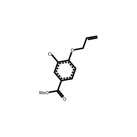 C=CCOc1ccc(C(=O)OC)cc1Cl